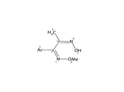 CO/N=C(C(C)=O)\C(C)=N/O